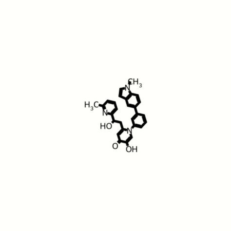 Cc1cccc(C(O)Cc2cc(=O)c(O)cn2-c2cccc(-c3ccc4c(ccn4C)c3)c2)n1